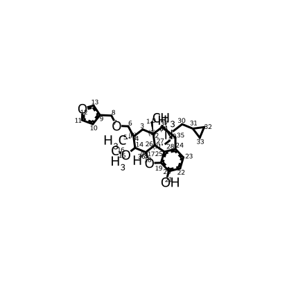 CC[C@]12C[C@](C)(COCc3ccoc3)C(OC)[C@@H]3Oc4c(O)ccc5c4[C@@]31CCN(CC1CC1)[C@@H]2C5